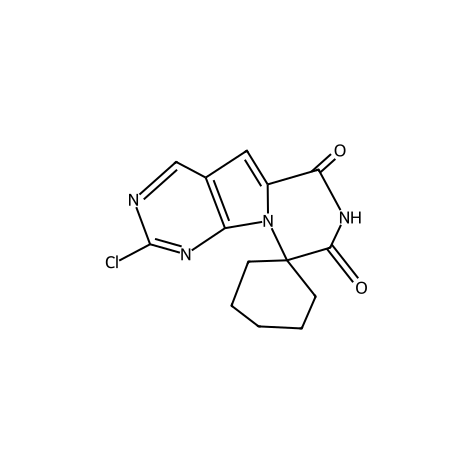 O=C1NC(=O)C2(CCCCC2)n2c1cc1cnc(Cl)nc12